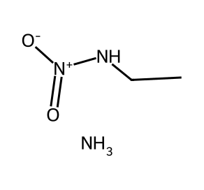 CCN[N+](=O)[O-].N